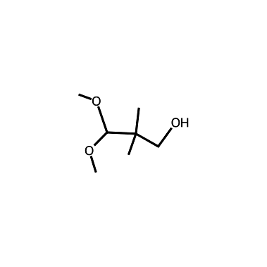 COC(OC)C(C)(C)CO